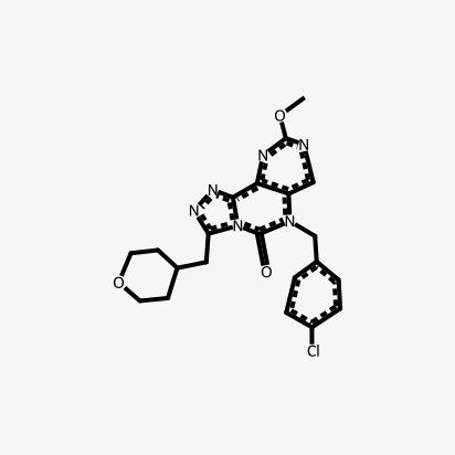 COc1ncc2c(n1)c1nnc(CC3CCOCC3)n1c(=O)n2Cc1ccc(Cl)cc1